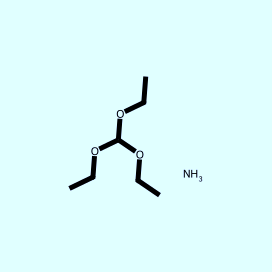 CCOC(OCC)OCC.N